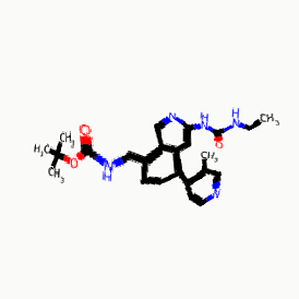 CCNC(=O)Nc1cc2c(-c3ccncc3C)ccc(CNC(=O)OC(C)(C)C)c2cn1